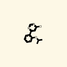 CC(C)Oc1ccccc1-c1cc(Cl)ncn1